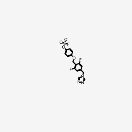 O=S(=O)(F)Oc1ccc(OCc2c(F)cc(Cn3cnnc3)cc2F)cc1